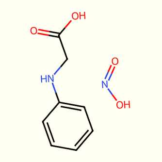 O=C(O)CNc1ccccc1.O=NO